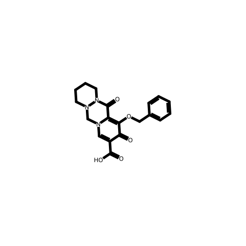 O=C(O)c1cn2c(c(OCc3ccccc3)c1=O)C(=O)N1CCCCN1C2